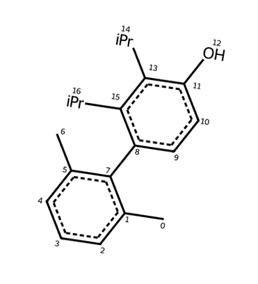 Cc1cccc(C)c1-c1ccc(O)c(C(C)C)c1C(C)C